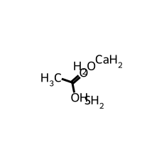 CC(=O)O.O.S.[CaH2]